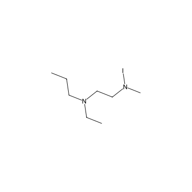 CCCN(CC)CCN(C)I